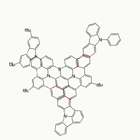 CC(C)(C)c1cc(-c2ccccc2)c(N2c3cc(-c4ccc5c(c4)c4ccccc4n5-c4ccccc4)ccc3B3c4ccc(-n5c6ccc(C(C)(C)C)cc6c6cc(C(C)(C)C)ccc65)cc4N(c4c(-c5ccccc5)cc(C(C)(C)C)cc4-c4ccccc4)c4cc(-c5ccc6c(c5)c5cccc7c8ccccc8n6c75)cc2c43)c(-c2ccccc2)c1